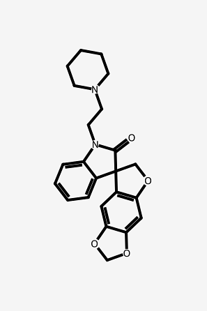 O=C1N(CCN2CCCCC2)c2ccccc2C12COc1cc3c(cc12)OCO3